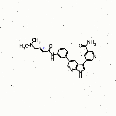 CN(C)C/C=C/C(=O)Nc1cccc(-c2cnc3[nH]cc(-c4cncc(C(N)=O)c4)c3c2)c1